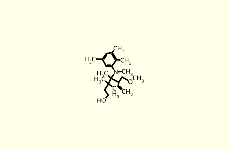 C=CC(COC)C(C)(N(C)c1cc(C)cc(C)c1C)C(C)(C)CCO